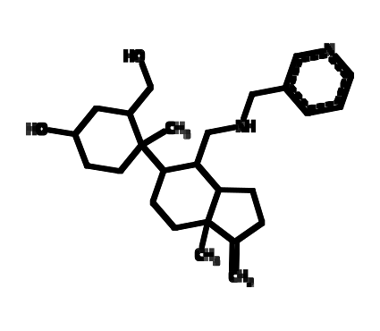 C=C1CCC2C(CNCc3cccnc3)C(C3(C)CCC(O)CC3CO)CCC12C